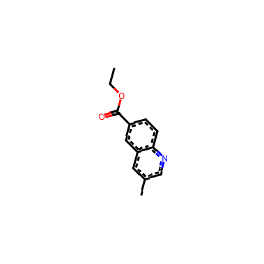 CCOC(=O)c1ccc2ncc(C)cc2c1